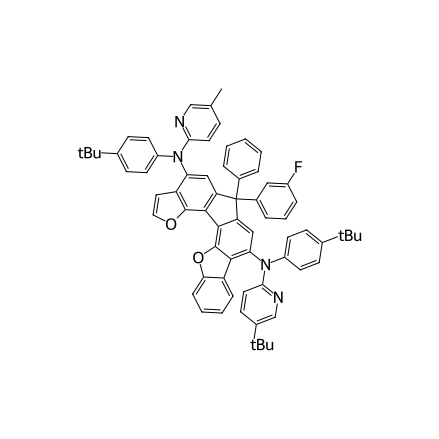 Cc1ccc(N(c2ccc(C(C)(C)C)cc2)c2cc3c(c4occc24)-c2c(cc(N(c4ccc(C(C)(C)C)cc4)c4ccc(C(C)(C)C)cn4)c4c2oc2ccccc24)C3(c2ccccc2)c2cccc(F)c2)nc1